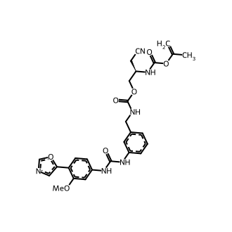 C=C(C)OC(=O)N[C@H](CC#N)COC(=O)NCc1cccc(NC(=O)Nc2ccc(-c3cnco3)c(OC)c2)c1